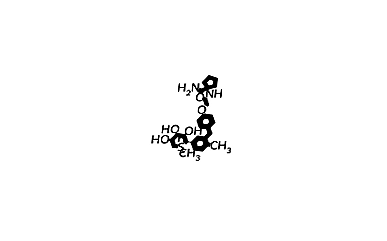 Cc1ccc([C@H]2[C@H](O)[C@H](O)[C@H](O)C[SH]2C)cc1Cc1ccc(OCCNC2(C(N)=O)CCCC2)cc1